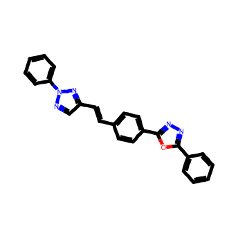 C(=C\c1cnn(-c2ccccc2)n1)/c1ccc(-c2nnc(-c3ccccc3)o2)cc1